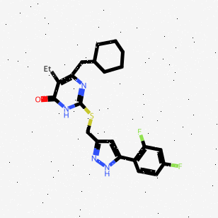 CCc1c(CC2CCCCC2)nc(SCc2cc(-c3ccc(F)cc3F)[nH]n2)[nH]c1=O